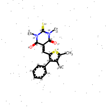 [C-]#[N+]c1c(C)sc(C=C2C(=O)N(CC)C(=S)N(CC)C2=O)c1-c1ccccc1